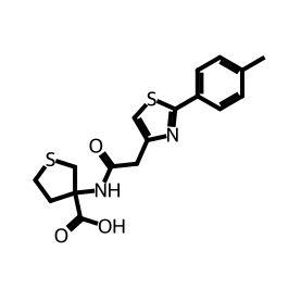 Cc1ccc(-c2nc(CC(=O)NC3(C(=O)O)CCSC3)cs2)cc1